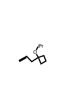 C=CCC1(OC(C)C)CCC1